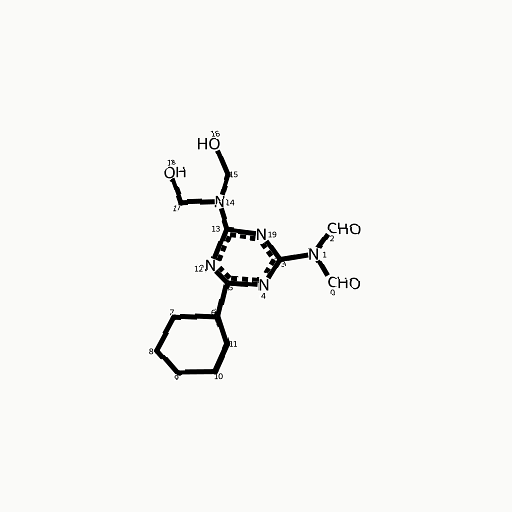 O=CN(C=O)c1nc(C2CCCCC2)nc(N(CO)CO)n1